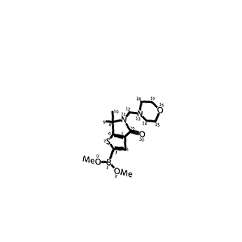 COB(OC)c1cc2c(s1)C(C)(C)N(CN1CCOCC1)C2=O